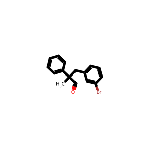 CC(C=O)(Cc1cccc(Br)c1)c1ccccc1